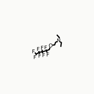 CCN(CC)CCOCC(F)(F)C(F)(F)C(F)(F)C(F)F